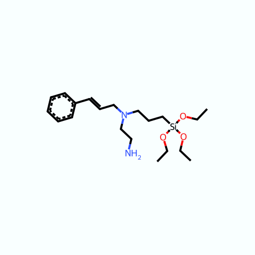 CCO[Si](CCCN(C/C=C/c1ccccc1)CCN)(OCC)OCC